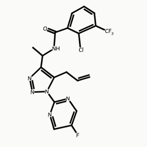 C=CCc1c(C(C)NC(=O)c2cccc(C(F)(F)F)c2Cl)nnn1-c1ncc(F)cn1